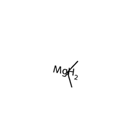 C[CH]C.[MgH2]